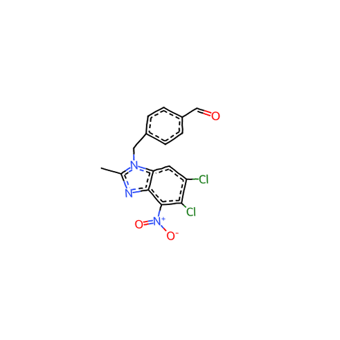 Cc1nc2c([N+](=O)[O-])c(Cl)c(Cl)cc2n1Cc1ccc(C=O)cc1